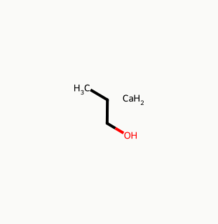 CCCO.[CaH2]